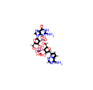 Nc1nc2c(ncn2[C@@H]2O[C@H](CO)[C@@H](O)[C@H]2P(=O)(O)OC[C@H]2O[C@@H](c3ccc4c(N)ncnn34)[C@H](O)[C@@H]2O[PH](=O)O)c(=O)[nH]1